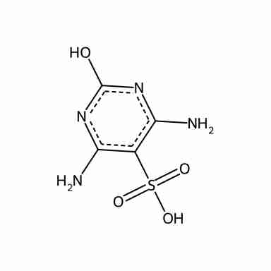 Nc1nc(O)nc(N)c1S(=O)(=O)O